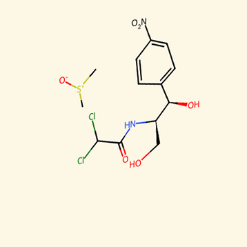 C[S+](C)[O-].O=C(N[C@H](CO)[C@H](O)c1ccc([N+](=O)[O-])cc1)C(Cl)Cl